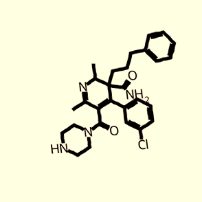 CC1=NC(C)C(CCCc2ccccc2)(C(N)=O)C(c2cccc(Cl)c2)=C1C(=O)N1CCNCC1